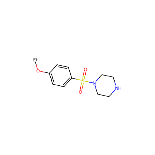 CCOc1ccc(S(=O)(=O)N2CCNCC2)cc1